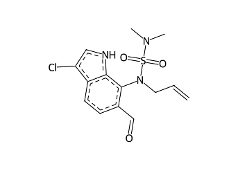 C=CCN(c1c(C=O)ccc2c(Cl)c[nH]c12)S(=O)(=O)N(C)C